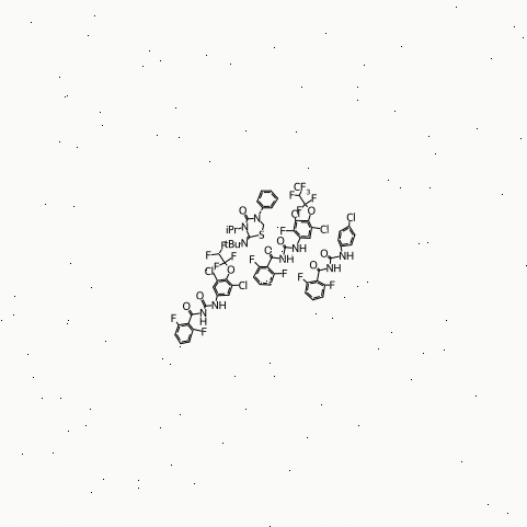 CC(C)N1C(=O)N(c2ccccc2)CSC1=NC(C)(C)C.O=C(NC(=O)c1c(F)cccc1F)Nc1cc(Cl)c(OC(F)(F)C(F)C(F)(F)F)c(Cl)c1F.O=C(NC(=O)c1c(F)cccc1F)Nc1cc(Cl)c(OC(F)(F)C(F)F)c(Cl)c1.O=C(NC(=O)c1c(F)cccc1F)Nc1ccc(Cl)cc1